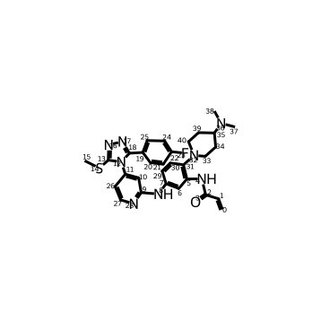 C=CC(=O)Nc1cc(Nc2cc(-n3c(SC)nnc3-c3ccc(F)cc3)ccn2)ccc1N1CCC(N(C)C)CC1